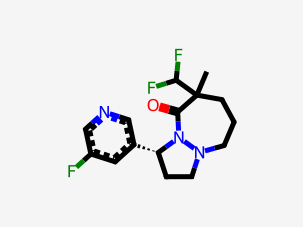 CC1(C(F)F)CCCN2CC[C@H](c3cncc(F)c3)N2C1=O